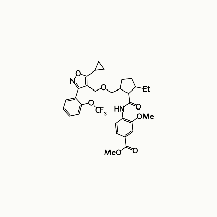 CCC1CCC(COCc2c(-c3ccccc3OC(F)(F)F)noc2C2CC2)C1C(=O)Nc1ccc(C(=O)OC)cc1OC